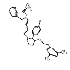 C=CCN(C=CCCC1CCOC(OCCc2cc(C(F)(F)F)cc(C(F)(F)F)c2)C1c1ccc(F)cc1)Cc1ccccc1